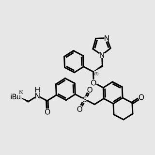 CC[C@H](C)CNC(=O)c1cccc(S(=O)(=O)Cc2c(O[C@H](Cn3ccnc3)c3ccccc3)ccc3c2CCCC3=O)c1